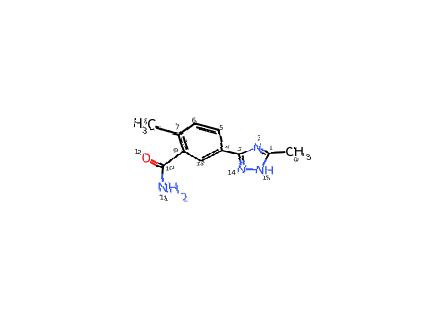 Cc1nc(-c2ccc(C)c(C(N)=O)c2)n[nH]1